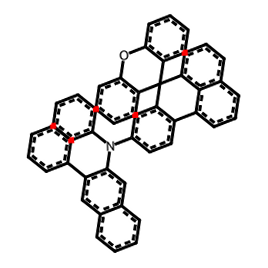 c1ccc(-c2cc3ccccc3cc2N(c2ccccc2)c2ccc3c(c2)C2(c4ccccc4Oc4ccccc42)c2cccc4cccc-3c24)cc1